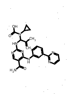 C=C(C)C(Nc1ncc(C(N)=O)c(Nc2cccc(-c3ncccn3)c2)n1)N(C(=O)O)C1CC1